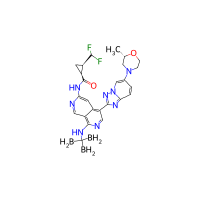 BC(B)(B)Nc1ncc(-c2nc3ccc(N4CCO[C@@H](C)C4)cn3n2)c2cc(NC(=O)[C@H]3C[C@H]3C(F)F)ncc12